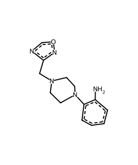 Nc1ccccc1N1CCN(Cc2ncon2)CC1